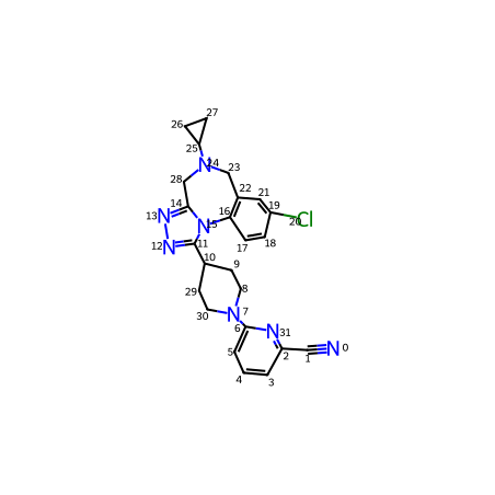 N#Cc1cccc(N2CCC(c3nnc4n3-c3ccc(Cl)cc3CN(C3CC3)C4)CC2)n1